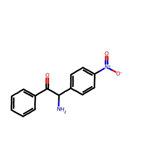 NC(C(=O)c1ccccc1)c1ccc([N+](=O)[O-])cc1